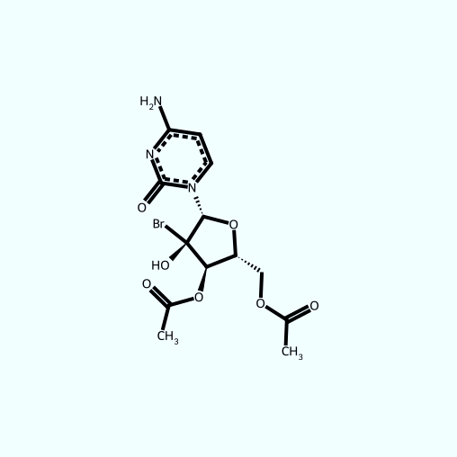 CC(=O)OC[C@H]1O[C@@H](n2ccc(N)nc2=O)[C@@](O)(Br)[C@@H]1OC(C)=O